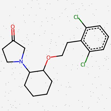 O=C1CCN(C2CCCCC2OCCc2c(Cl)cccc2Cl)C1